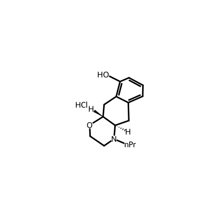 CCCN1CCO[C@@H]2Cc3c(O)cccc3C[C@H]21.Cl